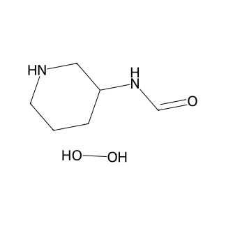 O=CNC1CCCNC1.OO